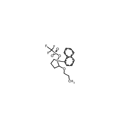 CCCOC1CCCS1(OS(=O)(=O)C(F)(F)F)c1cccc2ccccc12